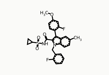 COc1ccc(-c2c(C(=O)NS(=O)(=O)C3CC3)n(Cc3ccccc3F)c3ccc(C)cc23)c(F)c1